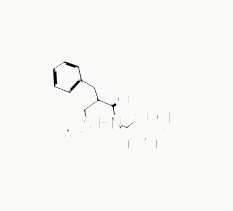 CCCC[C@H](NC(=O)C(CSC(C)=O)Cc1ccccc1)C(=O)O